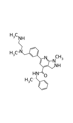 CNCCN(C)Cc1cccc(-c2cc(C(=O)N[C@@H](C)c3ccccc3)c3c(n2)N(C)NC3)c1